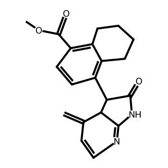 C=C1C=CN=C2NC(=O)C(c3ccc(C(=O)OC)c4c3CCCC4)C12